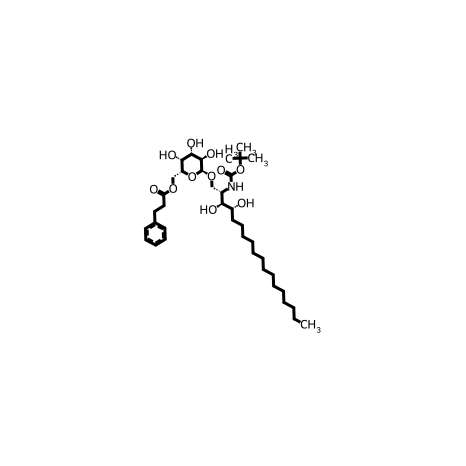 CCCCCCCCCCCCCC[C@@H](O)[C@@H](O)[C@H](CO[C@H]1O[C@H](COC(=O)CCc2ccccc2)[C@H](O)[C@H](O)[C@H]1O)NC(=O)OC(C)(C)C